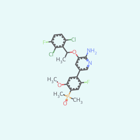 COc1cc(-c2cnc(N)c(OC(C)c3c(Cl)ccc(F)c3Cl)c2)c(F)cc1P(C)(C)=O